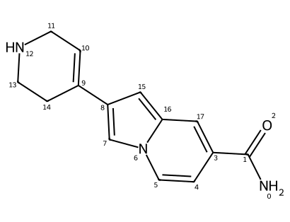 NC(=O)c1ccn2cc(C3=CCNCC3)cc2c1